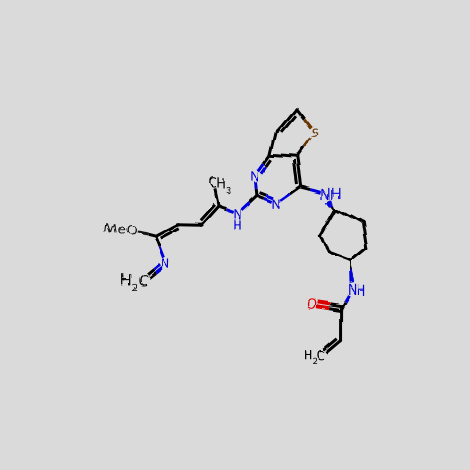 C=CC(=O)N[C@H]1CC[C@@H](Nc2nc(N/C(C)=C/C=C(\N=C)OC)nc3ccsc23)CC1